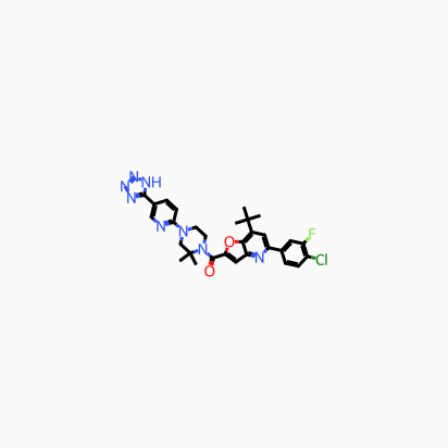 CC(C)(C)c1cc(-c2ccc(Cl)c(F)c2)nc2cc(C(=O)N3CCN(c4ccc(-c5nnn[nH]5)cn4)CC3(C)C)oc12